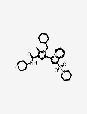 Cc1c(C(=O)NC2CCOCC2)cc(-c2cc(S(=O)(=O)N3CCCCC3)c3ccccn23)n1CC1CCCCC1